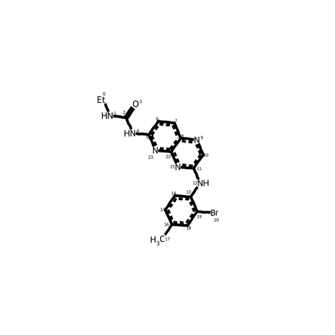 CCNC(=O)Nc1ccc2ncc(Nc3ccc(C)cc3Br)nc2n1